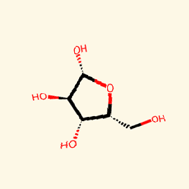 OC[C@H]1O[C@@H](O)[C@H](O)[C@H]1O